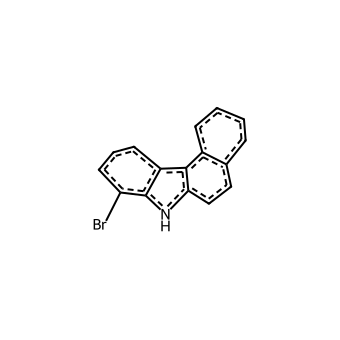 Brc1cccc2c1[nH]c1ccc3ccccc3c12